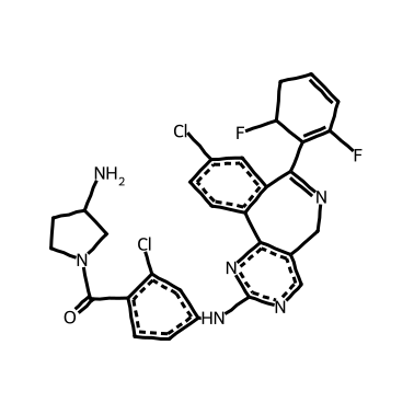 NC1CCN(C(=O)c2ccc(Nc3ncc4c(n3)-c3ccc(Cl)cc3C(C3=C(F)C=CCC3F)=NC4)cc2Cl)C1